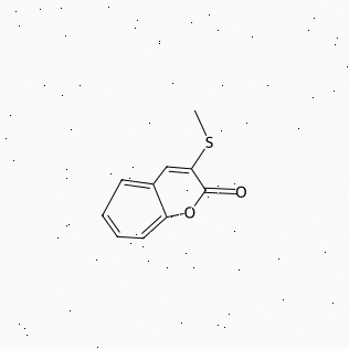 CSc1cc2ccccc2oc1=O